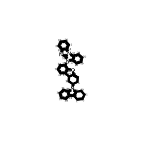 C1=Cc2c(n(C3CC=C4Oc5c(cccc5-n5c6ccccc6n6c7ccccc7nc56)C4C3)c3ccccc23)CC1